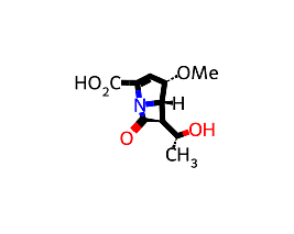 CO[C@H]1C=C(C(=O)O)N2C(=O)[C@H]([C@@H](C)O)[C@@H]12